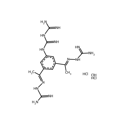 CC(=NNC(=N)N)c1cc(NC(=N)NC(=N)N)cc(C(C)=NNC(=N)N)c1.Cl.Cl.Cl